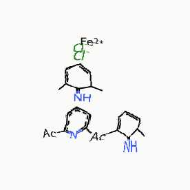 CC(=O)c1cccc(C(C)=O)n1.CC1=CC=CC(C)C1=N.CC1=CC=CC(C)C1=N.[Cl-].[Cl-].[Fe+2]